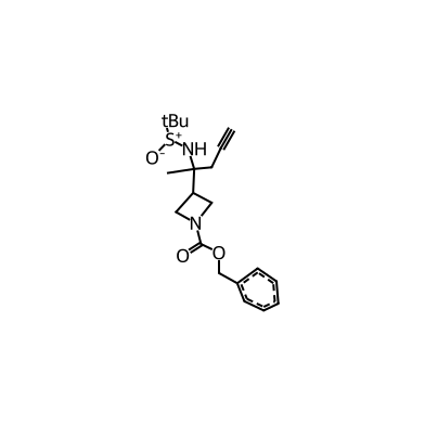 C#CCC(C)(N[S+]([O-])C(C)(C)C)C1CN(C(=O)OCc2ccccc2)C1